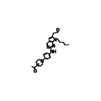 CCCCCn1c(CC=O)cc2cnc(Nc3ccc(N4CCN(C(C)=O)CC4)cc3)nc21